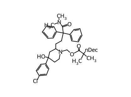 CCCCCCCCCCC(C)(C)C(=O)OCN1CCC(O)(c2ccc(Cl)cc2)CC1CCC(C(=O)N(C)C)(c1ccccc1)c1ccccc1